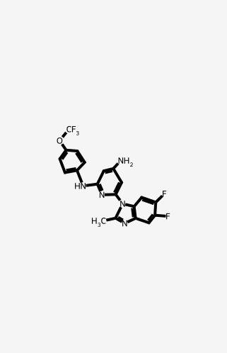 Cc1nc2cc(F)c(F)cc2n1-c1cc(N)cc(Nc2ccc(OC(F)(F)F)cc2)n1